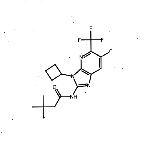 CC(C)(C)CC(=O)Nc1nc2cc(Cl)c(C(F)(F)F)nc2n1C1CCC1